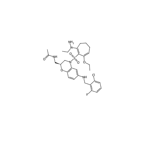 CCOC1=CCCCC(N(N)CC)=C1S(=O)(=O)N1C[C@H](CNC(C)=O)Oc2ccc(NCc3c(F)cccc3Cl)cc21